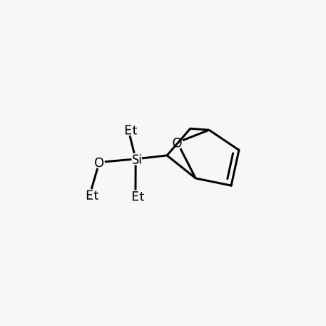 CCO[Si](CC)(CC)C1CC2C=CC1O2